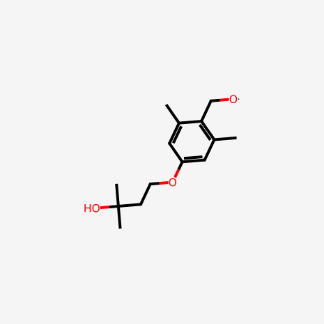 Cc1cc(OCCC(C)(C)O)cc(C)c1C[O]